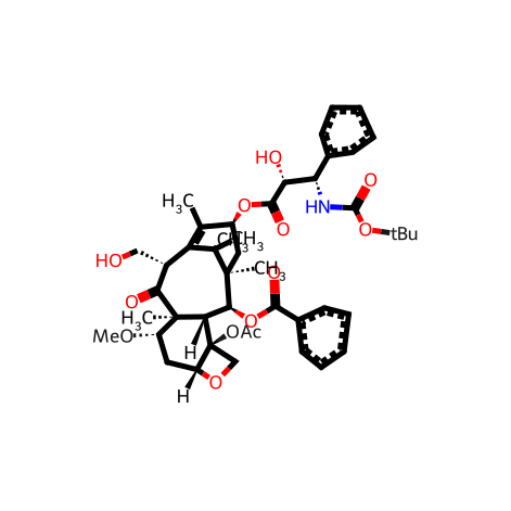 CO[C@H]1C[C@H]2OC[C@@]2(OC(C)=O)[C@H]2[C@H](OC(=O)c3ccccc3)[C@]3(C)C[C@H](OC(=O)[C@H](O)[C@@H](NC(=O)OC(C)(C)C)c4ccccc4)C(C)=C([C@@H](CO)C(=O)[C@]12C)C3(C)C